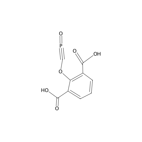 O=P#COc1c(C(=O)O)cccc1C(=O)O